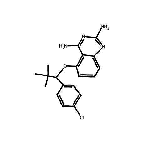 CC(C)(C)C(Oc1cccc2nc(N)nc(N)c12)c1ccc(Cl)cc1